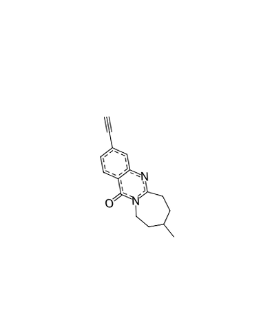 C#Cc1ccc2c(=O)n3c(nc2c1)CCC(C)CC3